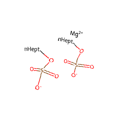 CCCCCCCOS(=O)(=O)[O-].CCCCCCCOS(=O)(=O)[O-].[Mg+2]